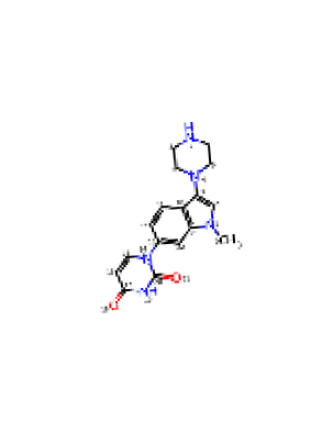 Cn1cc(N2CCNCC2)c2ccc(-n3ccc(=O)[nH]c3=O)cc21